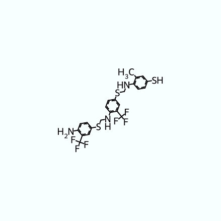 Cc1cc(S)ccc1NCSc1ccc(NCSc2ccc(N)c(C(F)(F)F)c2)c(C(F)(F)F)c1